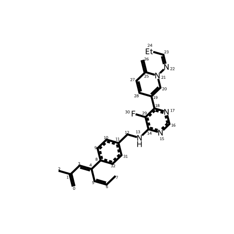 C=C(C)/C=C(\C=C/C)c1ccc(CNc2ncnc(C3=CN(/N=C\CC)C(=C)C=C3)c2F)cc1